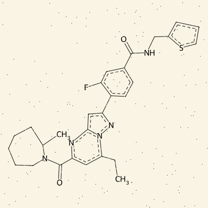 CCc1cc(C(=O)N2CCCCCC2C)nc2cc(-c3ccc(C(=O)NCc4cccs4)cc3F)nn12